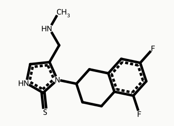 CNCc1c[nH]c(=S)n1C1CCc2c(F)cc(F)cc2C1